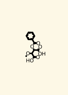 COC(C(=O)O)C(OC(=O)c1ccccc1)C(=O)O